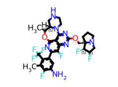 Cc1c(F)c(N)cc(-c2nc3c4c(nc(OC[C@@]56CCCN5C[C@@H](F)[C@H]6F)nc4c2F)N2CCNC[C@H]2[C@H](C)O3)c1C(F)(F)F